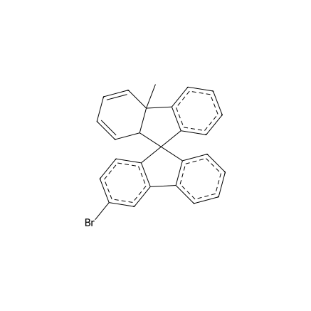 CC12C=CC=CC1C1(c3ccccc3-c3cc(Br)ccc31)c1ccccc12